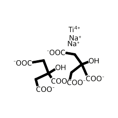 O=C([O-])CC(O)(CC(=O)[O-])C(=O)[O-].O=C([O-])CC(O)(CC(=O)[O-])C(=O)[O-].[Na+].[Na+].[Ti+4]